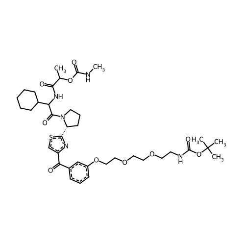 CNC(=O)OC(C)C(=O)NC(C(=O)N1CCC[C@@H]1c1nc(C(=O)c2cccc(OCCOCCOCCNC(=O)OC(C)(C)C)c2)cs1)C1CCCCC1